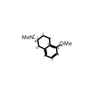 CN[C@@H]1CCc2c(cccc2OC)C1